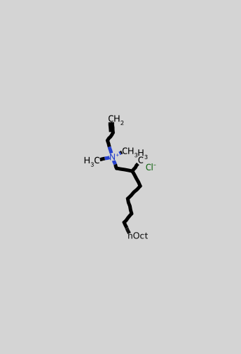 C=CC[N+](C)(C)CC(C)CCCCCCCCCCCC.[Cl-]